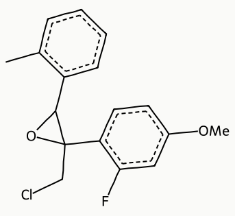 COc1ccc(C2(CCl)OC2c2ccccc2C)c(F)c1